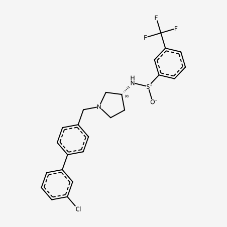 [O-][S+](N[C@@H]1CCN(Cc2ccc(-c3cccc(Cl)c3)cc2)C1)c1cccc(C(F)(F)F)c1